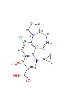 O=C(O)c1cn(C2CC2)c2c3c(c(F)cc2c1=O)N1CCCC1CN=C3